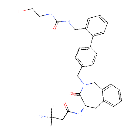 CC(C)(N)CC(=O)N[C@@H]1Cc2ccccc2CN(Cc2ccc(-c3ccccc3CNC(=O)NCCO)cc2)C1=O